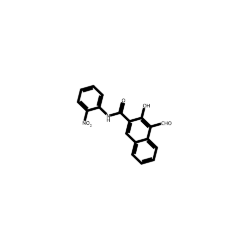 O=Cc1c(O)c(C(=O)Nc2ccccc2[N+](=O)[O-])cc2ccccc12